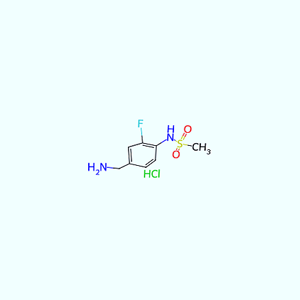 CS(=O)(=O)Nc1ccc(CN)cc1F.Cl